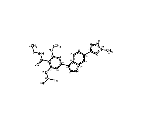 CCNC(=O)c1c(OC)cc(-c2cnn3cc(-c4cnn(C)c4)ccc23)cc1OC(F)F